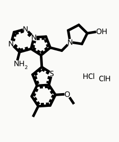 COc1cc(C)cc2cc(-c3c(CN4CCC(O)C4)cn4ncnc(N)c34)sc12.Cl.Cl